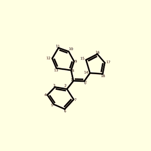 [C](=C(c1ccccc1)c1ccccc1)C1C=CC=C1